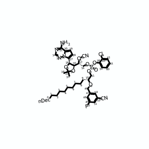 CCCCCCCCCCCCCCCCCCC[C@H](COP(=O)(OC[C@@H](OC#N)[C@H]1OC(C)(C)O[C@H]1c1ccc2c(N)ncnn12)Oc1ccccc1Cl)OCc1cc(F)cc(C#N)c1